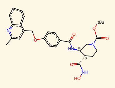 Cc1cc(COc2ccc(C(=O)N[C@H]3CN(C(=O)OC(C)(C)C)CC[C@@H]3C(=O)NO)cc2)c2ccccc2n1